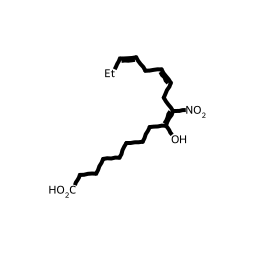 CC/C=C\C/C=C\C/C(=C(/O)CCCCCCCC(=O)O)[N+](=O)[O-]